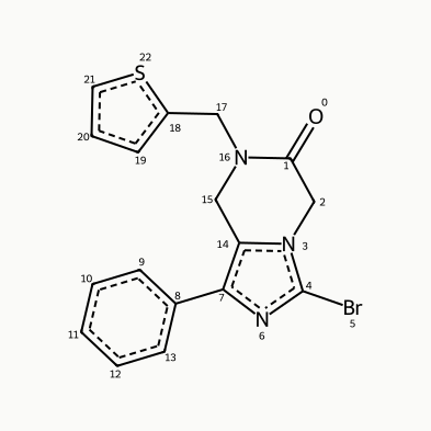 O=C1Cn2c(Br)nc(-c3ccccc3)c2CN1Cc1cccs1